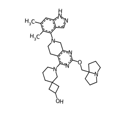 Cc1cc2[nH]ncc2c(N2CCc3c(nc(OCC45CCCN4CCC5)nc3N3CCCC4(CC(O)C4)C3)C2)c1C